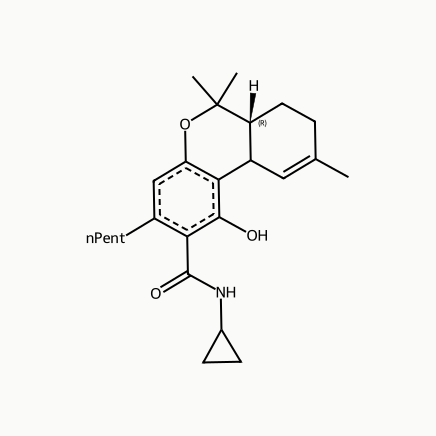 CCCCCc1cc2c(c(O)c1C(=O)NC1CC1)C1C=C(C)CC[C@H]1C(C)(C)O2